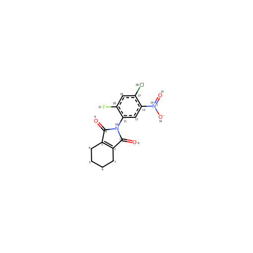 O=C1C2=C(CCCC2)C(=O)N1c1cc([N+](=O)[O-])c(Cl)cc1F